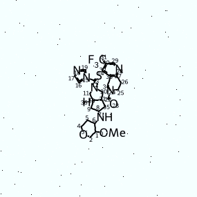 COC1COCCC1N[C@@H]1C[C@H]2CN(C(=S)n3ccnc3)C[C@@]2(C(=O)N2CCc3ncc(C(F)(F)F)cc3C2)C1